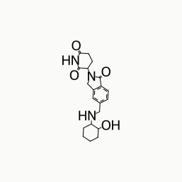 O=C1CCC(N2Cc3cc(CNC4CCCCC4O)ccc3C2=O)C(=O)N1